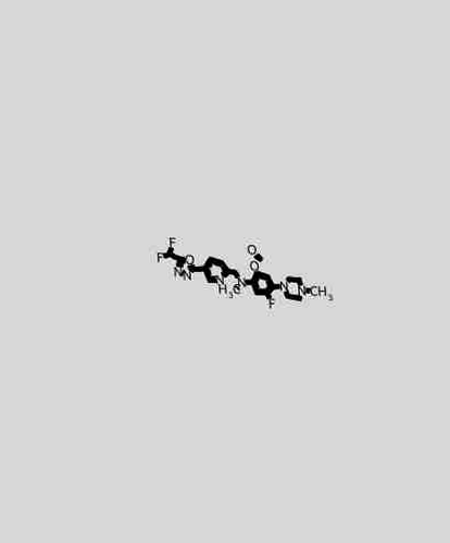 CN1CCN(c2cc(OC=O)c(N(C)Cc3ccc(-c4nnc(C(F)F)o4)cn3)cc2F)CC1